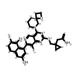 C=C(N)CC1(COc2nc(N3CCC[C@]4(CCO4)C3)c3cnc(-c4cc(O)cc5ccc(F)c(CC)c45)c(F)c3n2)CC1